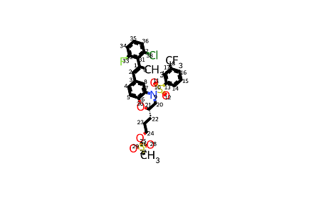 CC(=Cc1ccc2c(c1)N(S(=O)(=O)c1cccc(C(F)(F)F)c1)C[C@H](CCCOS(C)(=O)=O)O2)c1c(F)cccc1Cl